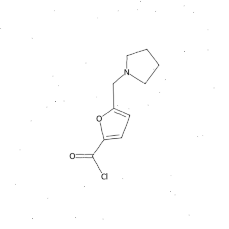 O=C(Cl)c1ccc(CN2CCCC2)o1